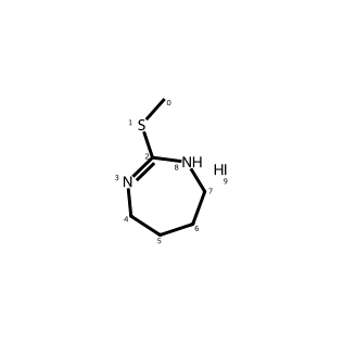 CSC1=NCCCCN1.I